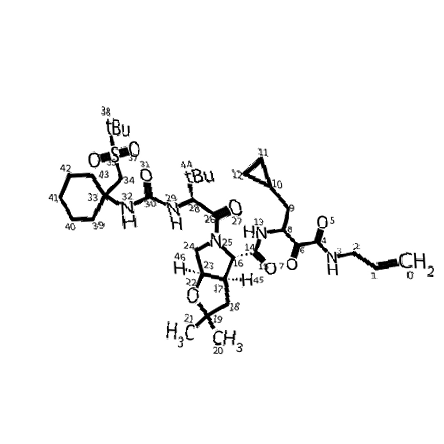 C=CCNC(=O)C(=O)C(CC1CC1)NC(=O)[C@@H]1[C@H]2CC(C)(C)O[C@H]2CN1C(=O)[C@@H](NC(=O)NC1(CS(=O)(=O)C(C)(C)C)CCCCC1)C(C)(C)C